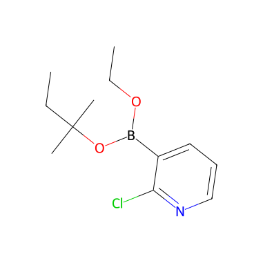 CCOB(OC(C)(C)CC)c1cccnc1Cl